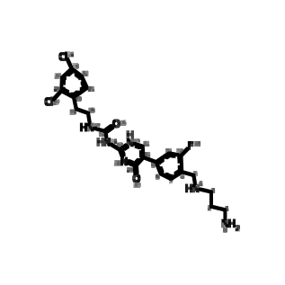 NCCCNCc1ccc(-c2c[nH]c(NC(=O)NCCc3ccc(Cl)cc3Cl)nc2=O)cc1F